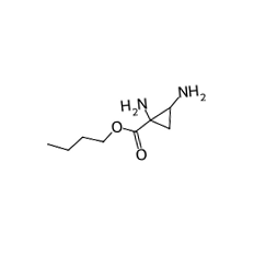 CCCCOC(=O)C1(N)CC1N